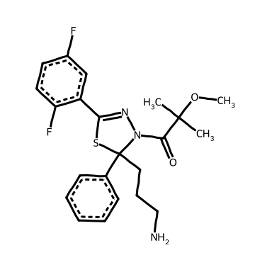 COC(C)(C)C(=O)N1N=C(c2cc(F)ccc2F)SC1(CCCN)c1ccccc1